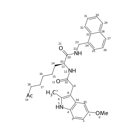 COc1ccc2[nH]c(C)c(CC(=O)N[C@@H](CCCCCC(C)=O)C(=O)NCc3cccc4ccccc34)c2c1